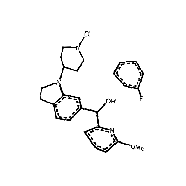 CCN1CCC(N2CCc3ccc(C(O)c4cccc(OC)n4)cc32)CC1.Fc1ccccc1